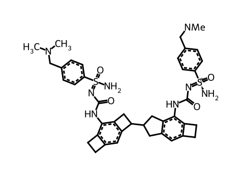 CNCc1ccc([S@](N)(=O)=NC(=O)Nc2c3c(cc4c2CC(C2Cc5c2cc2c(c5NC(=O)N=S(N)(=O)c5ccc(CN(C)C)cc5)CC2)C4)CC3)cc1